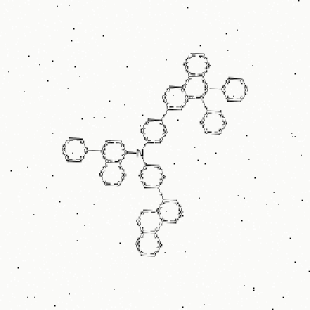 c1ccc(-c2ccc(N(c3ccc(-c4ccc5c(c4)c(-c4ccccc4)c(-c4ccccc4)c4ccccc45)cc3)c3ccc(-c4cccc5c4ccc4ccccc45)cc3)c3ccccc23)cc1